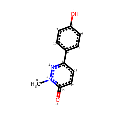 Cn1nc(-c2ccc(O)cc2)ccc1=O